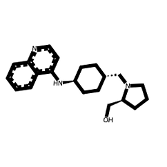 OC[C@@H]1CCCN1C[C@H]1CC[C@H](Nc2ccnc3ccccc23)CC1